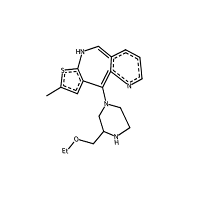 CCOCC1CN(C2=c3ncccc3=CNc3sc(C)cc32)CCN1